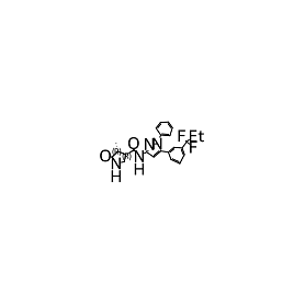 CCC(F)(F)c1cccc(-c2cc(NC(=O)[C@H]3CNC(=O)[C@@H]3C)nn2-c2ccccc2)c1